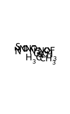 CC(C)(C)C(=O)N(Cc1ccc(N2CCN(c3nccs3)CC2)nc1)c1ccc(F)cc1